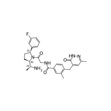 Cc1cc(Cc2ccc(C(=O)NCC(=O)N3[C@@H]([C@H](C)N)CC[C@H]3c3cccc(F)c3)cc2C)c(=O)[nH]n1